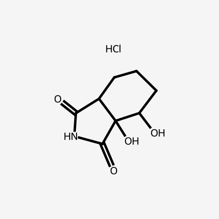 Cl.O=C1NC(=O)C2(O)C(O)CCCC12